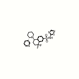 O=S(=O)(Nc1ncns1)c1ccc2c(c1)C(F)(F)CC[C@H]2N1CCCC[C@H]1c1cccnc1